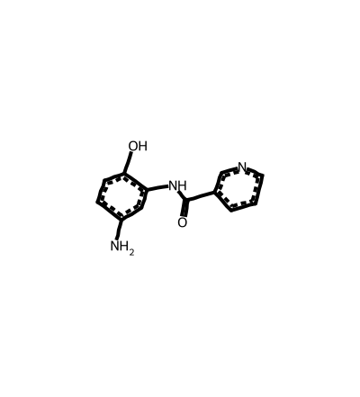 Nc1ccc(O)c(NC(=O)c2cccnc2)c1